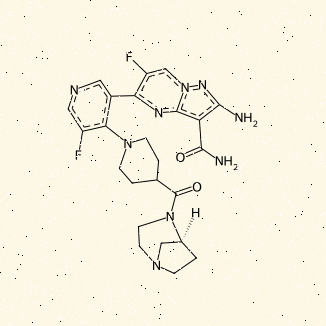 NC(=O)c1c(N)nn2cc(F)c(-c3cncc(F)c3N3CCC(C(=O)N4CCN5CC[C@H]4C5)CC3)nc12